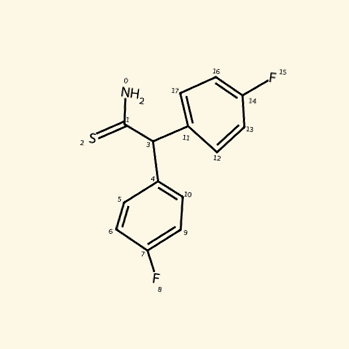 NC(=S)C(c1ccc(F)cc1)c1ccc(F)cc1